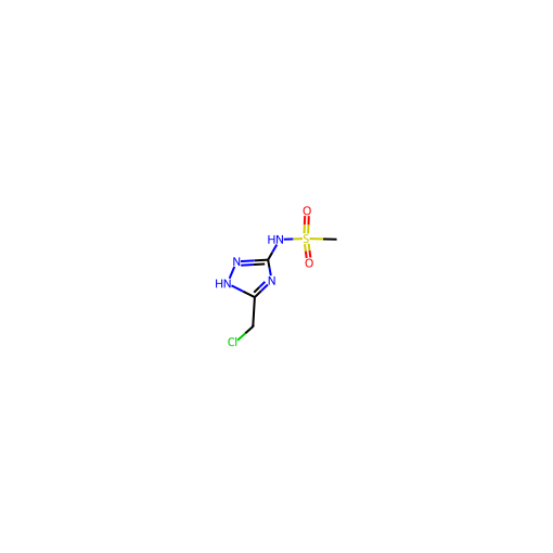 CS(=O)(=O)Nc1n[nH]c(CCl)n1